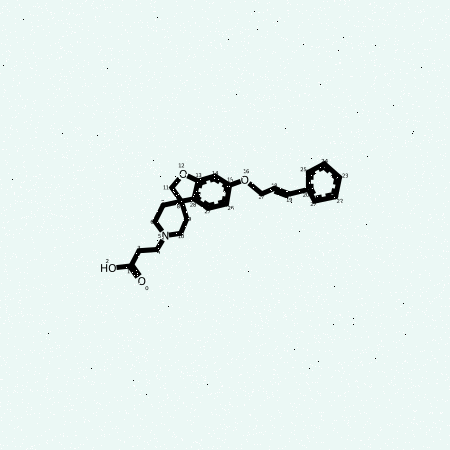 O=C(O)CCN1CCC2(CC1)COc1cc(OCC=Cc3ccccc3)ccc12